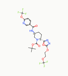 CC(C)(C)OC(=O)N1C[C@@H](NC(=O)c2ccc(OC(F)(F)F)nc2)CC[C@@H]1c1nnc(OCCOC(F)(F)F)o1